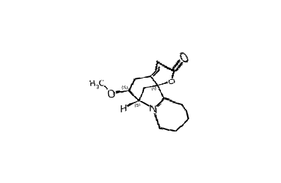 CO[C@H]1CC2=CC(=O)O[C@@]23C[C@@H]1N1CCCCC13